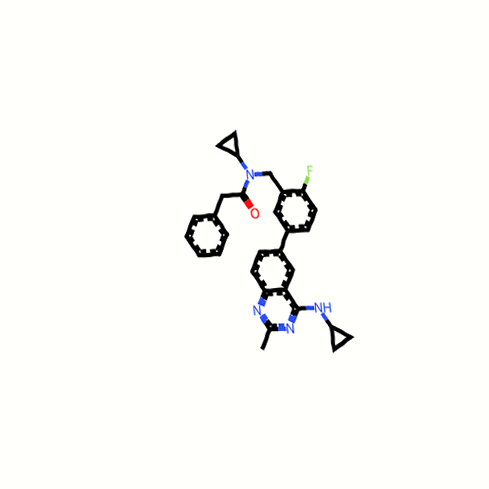 Cc1nc(NC2CC2)c2cc(-c3ccc(F)c(CN(C(=O)Cc4ccccc4)C4CC4)c3)ccc2n1